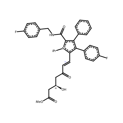 COC(=O)C[C@H](O)CC(=O)/C=C/c1c(-c2ccc(F)cc2)c(-c2ccccc2)c(C(=O)NCc2ccc(F)cc2)n1C(C)C